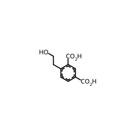 O=C(O)c1ccc(CCO)c(C(=O)O)c1